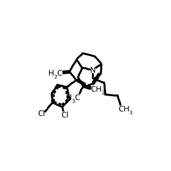 C=C(C)CC1C2CCC(/C=C\C=C(\c3ccc(Cl)c(Cl)c3)C2=C)N1CCCCC